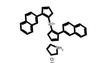 C1=CC(c2ccc3ccccc3c2)=[C]([Zr+2][C]2=C(c3ccc4ccccc4c3)C=CC2)C1.C1CC[SiH2]C1.[Cl-].[Cl-]